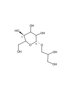 OCC(O)CO[C@@H]1OC(CO)[C@@H](O)C(O)C1O